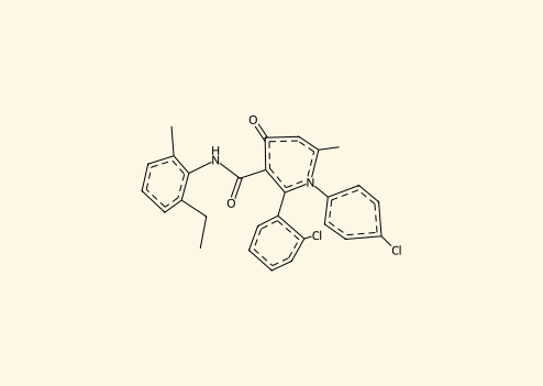 CCc1cccc(C)c1NC(=O)c1c(-c2ccccc2Cl)n(-c2ccc(Cl)cc2)c(C)cc1=O